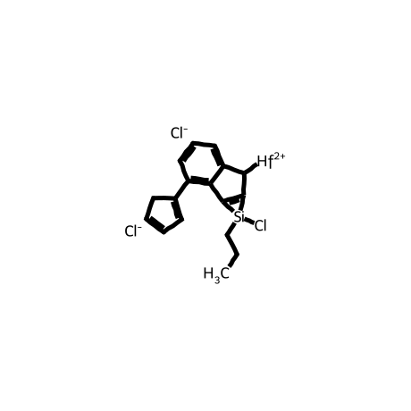 CCC[Si]1(Cl)C2=C1[CH]([Hf+2])c1cccc(C3=CC=CC3)c12.[Cl-].[Cl-]